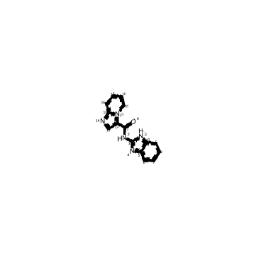 O=C(Nc1nc2ccccc2[nH]1)c1cnc2ccccn12